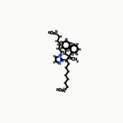 CCCCCCCCCCCCCCCCCC(c1nccn1CCCCCCCCCCCCCCC)C(C)(Cc1ccccc1)c1ccccc1